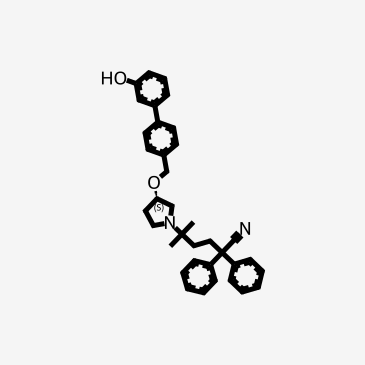 CC(C)(CCC(C#N)(c1ccccc1)c1ccccc1)N1CC[C@H](OCc2ccc(-c3cccc(O)c3)cc2)C1